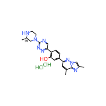 Cc1cn2nc(-c3ccc(-c4cnc(N5CCN[C@H](C)C5)nn4)c(O)c3)cc(C)c2n1.Cl.Cl